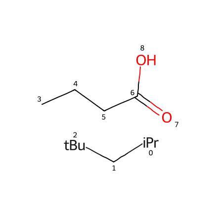 CC(C)CC(C)(C)C.CCCC(=O)O